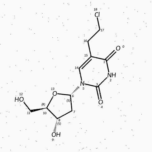 O=c1[nH]c(=O)n([C@@H]2C[C@H](O)[C@@H](CO)O2)cc1CCCl